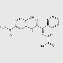 NC(=O)c1ccc(O)c(NC(=O)c2nc(C(=O)O)cc3ccccc23)c1